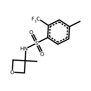 Cc1ccc(S(=O)(=O)NC2(C)COC2)c(C(F)(F)F)c1